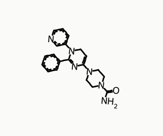 NC(=O)N1CCN(C2=CCN(c3cccnc3)C(c3ccccc3)=N2)CC1